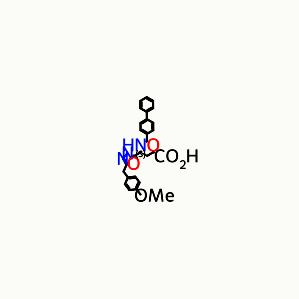 COc1ccc(Cc2nnc([C@H](CCC(=O)O)NC(=O)c3ccc(-c4ccccc4)cc3)o2)cc1